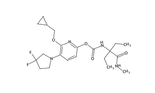 CCC(CC)(NC(=O)Oc1ccc(N2CCC(F)(F)C2)c(OCC2CC2)n1)C(=O)NC